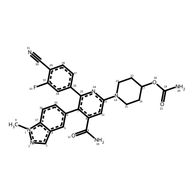 Cn1ncc2cc(-c3c(C(N)=O)cc(N4CCC(OC(N)=O)CC4)nc3-c3ccc(C#N)c(F)c3)ccc21